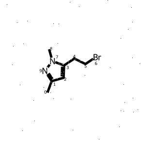 Cc1cc(CCBr)n(C)n1